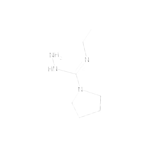 CC/N=C(\NN)N1CCCC1